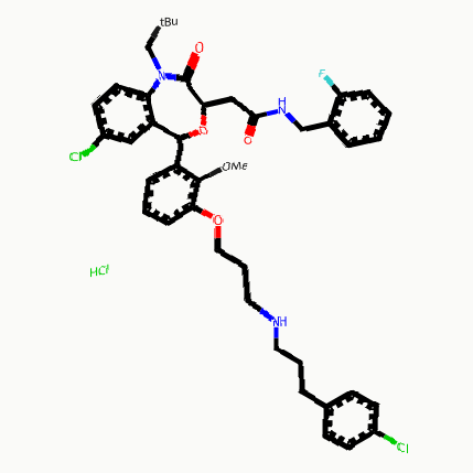 COc1c(OCCCNCCCc2ccc(Cl)cc2)cccc1C1OC(CC(=O)NCc2ccccc2F)C(=O)N(CC(C)(C)C)c2ccc(Cl)cc21.Cl